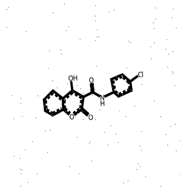 O=C(Nc1ccc(Cl)cc1)c1c(O)c2ccccc2oc1=O